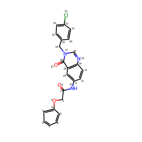 O=C(COc1ccccc1)Nc1ccc2ncn(Cc3ccc(Cl)cc3)c(=O)c2c1